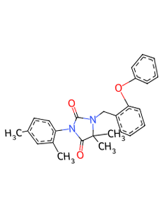 Cc1ccc(N2C(=O)N(Cc3ccccc3Oc3ccccc3)C(C)(C)C2=O)c(C)c1